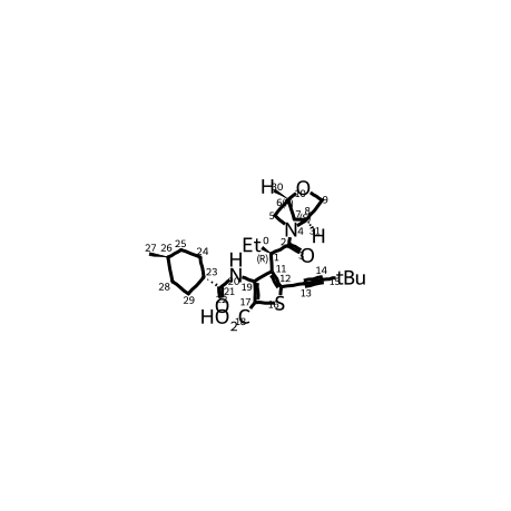 CC[C@@H](C(=O)N1C[C@H]2C[C@H]1CO2)c1c(C#CC(C)(C)C)sc(C(=O)O)c1NC(=O)[C@H]1CC[C@H](C)CC1